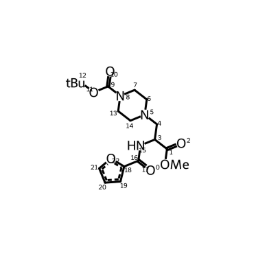 COC(=O)C(CN1CCN(C(=O)OC(C)(C)C)CC1)NC(=O)c1ccco1